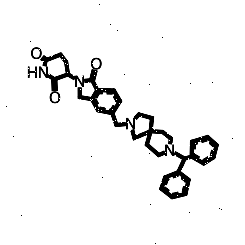 O=C1CCC(N2Cc3cc(CN4CCC5(CCN(C(c6ccccc6)c6ccccc6)CC5)C4)ccc3C2=O)C(=O)N1